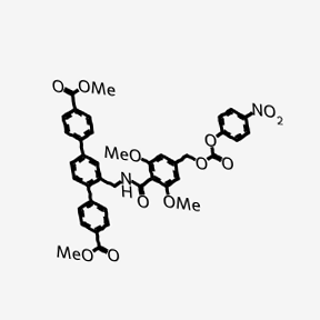 COC(=O)c1ccc(-c2ccc(-c3ccc(C(=O)OC)cc3)c(CNC(=O)c3c(OC)cc(COC(=O)Oc4ccc([N+](=O)[O-])cc4)cc3OC)c2)cc1